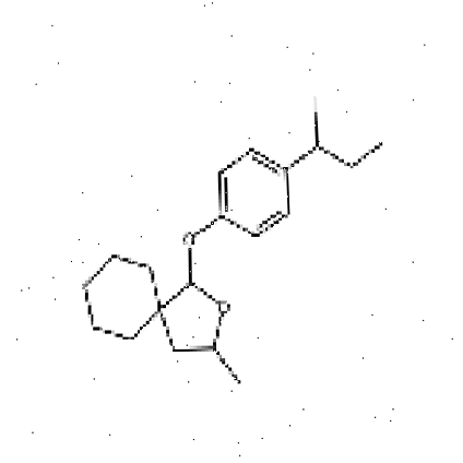 CCC(I)c1ccc(OC2OC(C)CC23CCCCC3)cc1